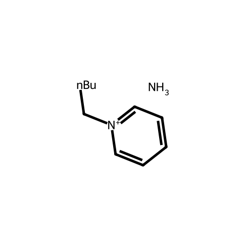 CCCCC[n+]1ccccc1.N